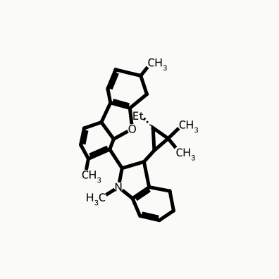 CC[C@H]1C(C2C3=C(C=CCC3)N(C)C2C2=C(C)C=CC3C4=C(CC(C)C=C4)OC23)C1(C)C